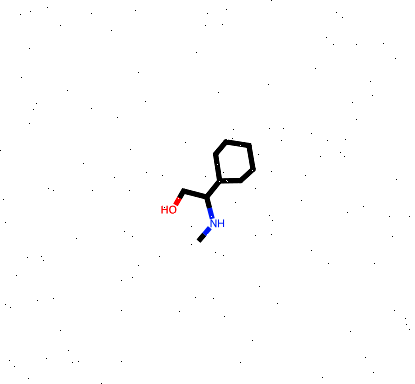 CNC(CO)C1CCCCC1